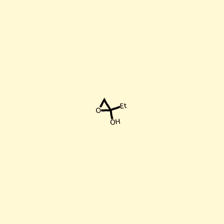 CCC1(O)CO1